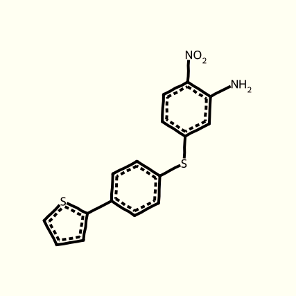 Nc1cc(Sc2ccc(-c3cccs3)cc2)ccc1[N+](=O)[O-]